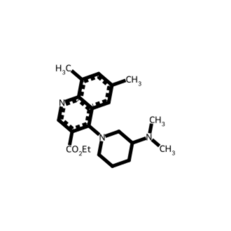 CCOC(=O)c1cnc2c(C)cc(C)cc2c1N1CCCC(N(C)C)C1